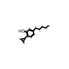 CCCCCc1ccc(C2CC2)c(O)c1